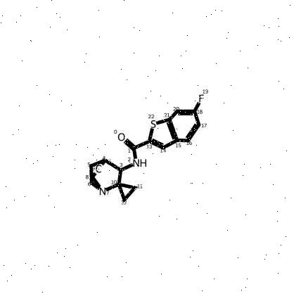 O=C(NC1C2CCN(CC2)C12CC2)c1cc2ccc(F)cc2s1